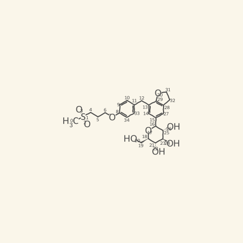 CS(=O)(=O)CCCOc1ccc(Cc2cc(C3O[C@H](CO)[C@@H](O)[C@H](O)[C@H]3O)cc3c2OCC3)cc1